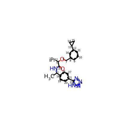 CC(NC(=O)C(OCc1cccc(C2CC2)c1)C(C)C)c1ccc(-c2nnn[nH]2)cc1